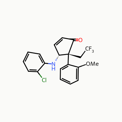 COc1ccccc1[C@@]1(CC(F)(F)F)C(=O)C=C[C@H]1Nc1ccccc1Cl